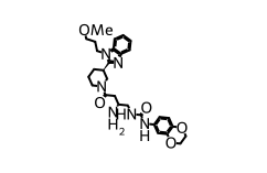 COCCCn1c([C@@H]2CCCN(C(=O)C[C@H](N)CNC(=O)Nc3ccc4c(c3)OCCO4)C2)nc2ccccc21